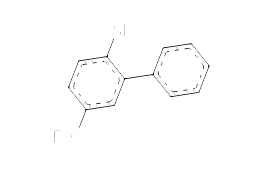 FC(F)(F)c1ccc(S)c(-c2ccccc2)c1